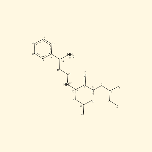 CCC(C)CNC(=O)[C@H](CC(C)C)NCCC(N)c1ccccc1